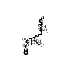 CC(C)(C)OC(=O)N[C@@H](CCCCC/C=C\[C@@H]1C[C@]1(N)C(=O)NS(=O)(=O)c1ccc(Cl)s1)C(=O)N1C[C@H](OC(=O)N2Cc3ccccc3C2)C[C@H]1C=O